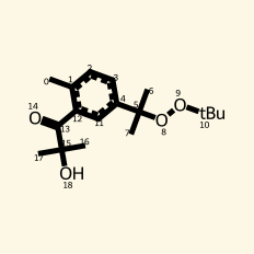 Cc1ccc(C(C)(C)OOC(C)(C)C)cc1C(=O)C(C)(C)O